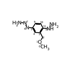 COCc1cc(N=NN)ccc1NN